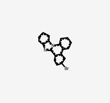 Brc1ccc2c(c1)c1ccccc1n1c3ccccc3nc21